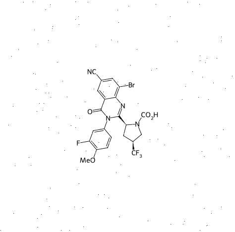 COc1ccc(-n2c([C@@H]3C[C@H](C(F)(F)F)CN3C(=O)O)nc3c(Br)cc(C#N)cc3c2=O)cc1F